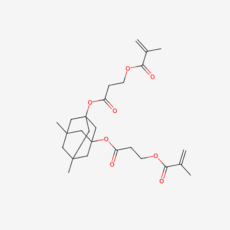 C=C(C)C(=O)OCCC(=O)OC12CC3(C)CC(C)(C1)CC(OC(=O)CCOC(=O)C(=C)C)(C3)C2